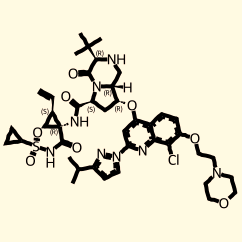 C=C[C@@H]1C[C@]1(NC(=O)[C@@H]1C[C@@H](Oc2cc(-n3ccc(C(C)C)n3)nc3c(Cl)c(OCCN4CCOCC4)ccc23)[C@H]2CN[C@H](C(C)(C)C)C(=O)N21)C(=O)NS(=O)(=O)C1CC1